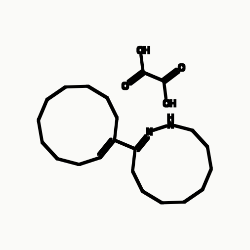 C1=C(C2=NNCCCCCCCC2)CCCCCCCCC1.O=C(O)C(=O)O